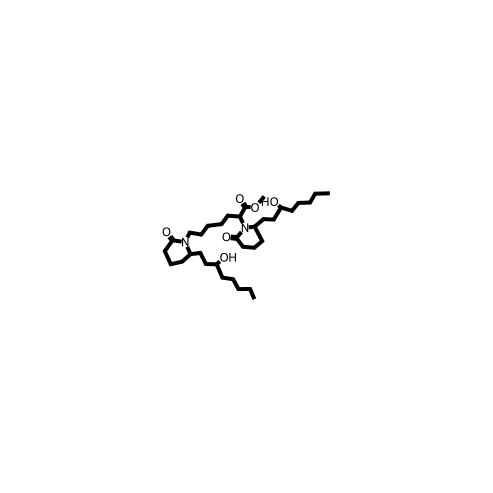 CCCCCC(O)CCC1CCCC(=O)N1CCCCCC(C(=O)OC)N1C(=O)CCCC1CCC(O)CCCCC